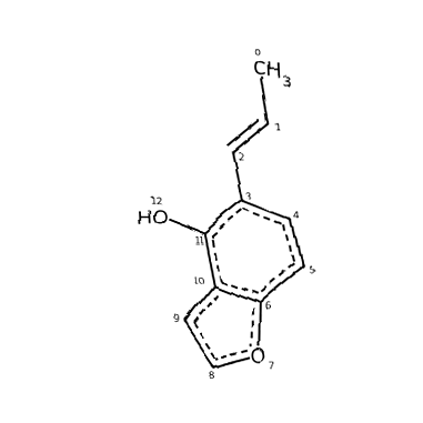 C/C=C/c1ccc2occc2c1O